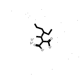 CCCC(CC)C(C)C(C(=O)[O-])C(=O)[O-].[Li+].[Li+]